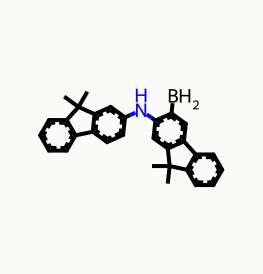 Bc1cc2c(cc1Nc1ccc3c(c1)C(C)(C)c1ccccc1-3)C(C)(C)c1ccccc1-2